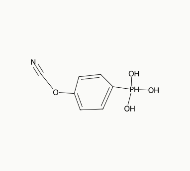 N#COc1ccc([PH](O)(O)O)cc1